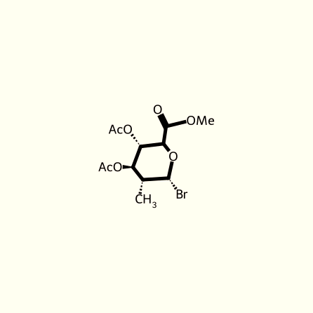 COC(=O)C1O[C@H](Br)[C@H](C)[C@@H](OC(C)=O)[C@@H]1OC(C)=O